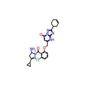 NC1CC(C2CC2)=NN1C(=O)c1c(Cl)cccc1OCc1cc(=O)n2nc(C3CC=CCC3)nc2[nH]1